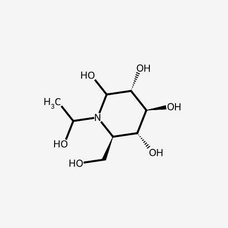 CC(O)N1C(O)[C@H](O)[C@@H](O)[C@H](O)[C@H]1CO